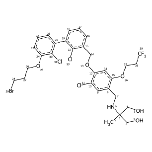 CC(CO)(CO)NCc1cc(Cl)c(OCc2cccc(-c3cccc(OCCCBr)c3Cl)c2Cl)cc1OCCC(F)(F)F